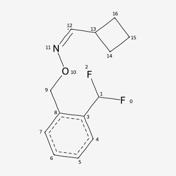 FC(F)c1ccccc1CO/N=[C]\C1CCC1